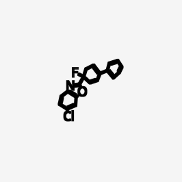 FC1(c2nc3ccc(Cl)cc3o2)C=CC(c2ccccc2)=CC1